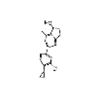 Cc1cc(-c2ccc(C3CC3)c(Cl)c2)cc2c1C(O)CC2